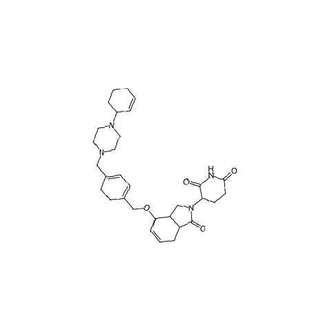 O=C1CCC(N2CC3C(OCC4=CC=C(CN5CCN(C6C=CCCC6)CC5)CC4)C=CCC3C2=O)C(=O)N1